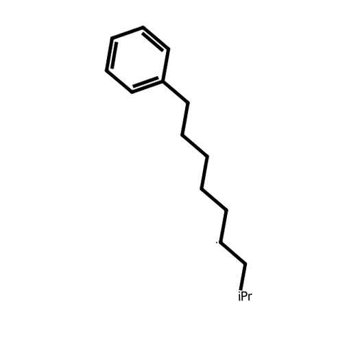 CC(C)C[CH]CCCCCc1ccccc1